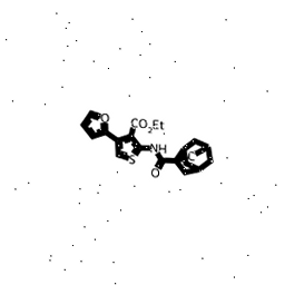 CCOC(=O)c1c(-c2ccco2)csc1NC(=O)C12CC3CC(CC1C3)C2